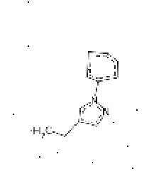 [CH2]Cc1cnn(-c2ccccc2)c1